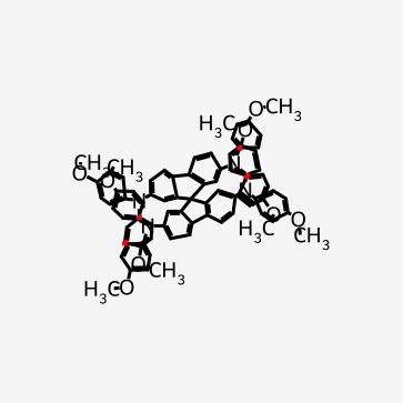 COc1c#cc(N(c2ccc(OC)cc2)c2ccc3c(c2)C2(c4cc(N(c5ccc(OC)cc5)c5ccc(OC)cc5)ccc4-3)c3cc(N(c4ccc(OC)cc4)c4ccc(OC)cc4)ccc3-c3ccc(N(c4ccc(OC)cc4)c4ccc(OC)cc4)cc32)cc1